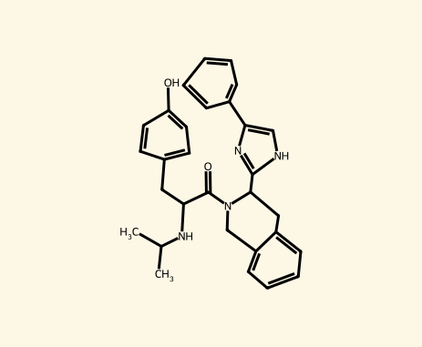 CC(C)NC(Cc1ccc(O)cc1)C(=O)N1Cc2ccccc2CC1c1nc(-c2ccccc2)c[nH]1